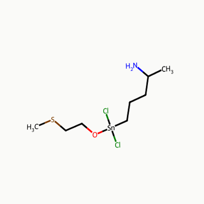 CSCC[O][Sn]([Cl])([Cl])[CH2]CCC(C)N